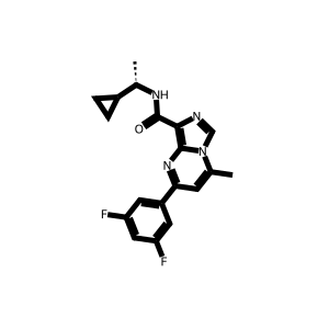 Cc1cc(-c2cc(F)cc(F)c2)nc2c(C(=O)N[C@@H](C)C3CC3)ncn12